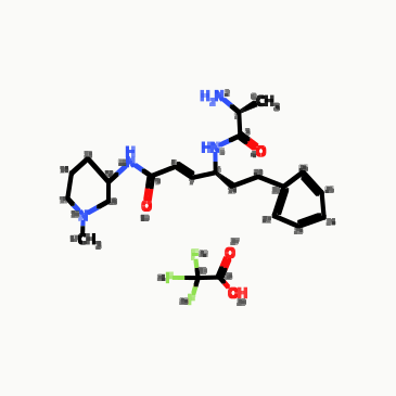 C[C@H](N)C(=O)N[C@H](/C=C/C(=O)NC1CCCN(C)C1)CCc1ccccc1.O=C(O)C(F)(F)F